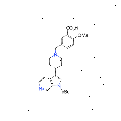 CCCCn1cc(C2CCN(Cc3ccc(OC)c(C(=O)O)c3)CC2)c2ccncc21